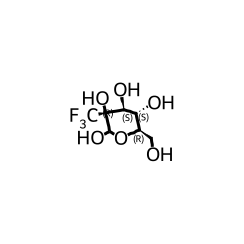 OC[C@H]1OC(O)[C@@](O)(C(F)(F)F)[C@@H](O)[C@@H]1O